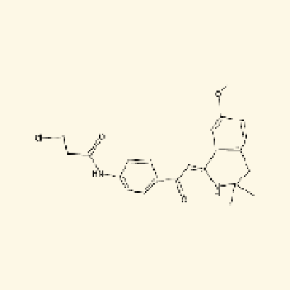 COc1ccc2c(c1)C(=CC(=O)c1ccc(NC(=O)CCCl)cc1)NC(C)(C)C2